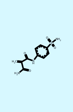 C=C(C(N)=O)C(=O)Nc1ccc(S(N)(=O)=O)cc1